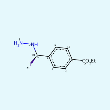 CCOC(=O)c1ccc([C@@H](I)NN)cc1